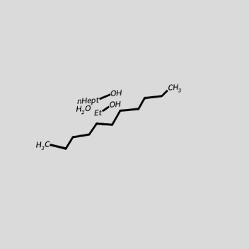 CCCCCCCCCCC.CCCCCCCO.CCO.O